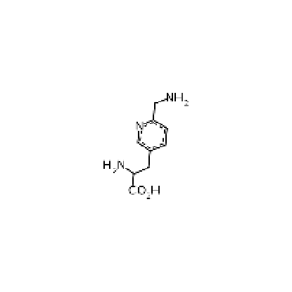 NCc1ccc(CC(N)C(=O)O)cn1